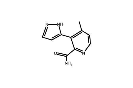 Cc1ccnc(C(N)=O)c1-c1ccn[nH]1